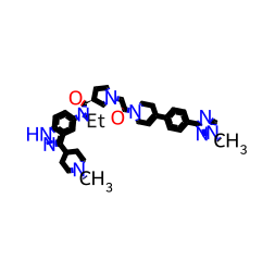 CCN(C(=O)[C@@H]1CCN(CC(=O)N2CC=C(c3ccc(-c4ncn(C)n4)cc3)CC2)C1)c1ccc2[nH]nc(C3CCN(C)CC3)c2c1